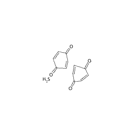 O=C1C=CC(=O)C=C1.O=C1C=CC(=O)C=C1.S